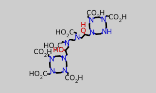 O=C(O)CN1CCNCCN(CC(O)CN(CCN(CC(=O)O)CC(O)CN2CCN(CC(=O)O)CCN(CC(=O)O)CCN(CC(=O)O)CC2)CC(=O)O)CCN(CC(=O)O)CC1